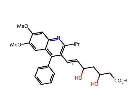 COc1cc2nc(C(C)C)c(/C=C/C(O)CC(O)CC(=O)O)c(-c3ccccc3)c2cc1OC